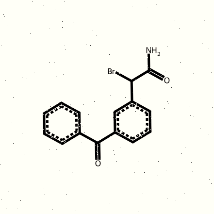 NC(=O)C(Br)c1cccc(C(=O)c2ccccc2)c1